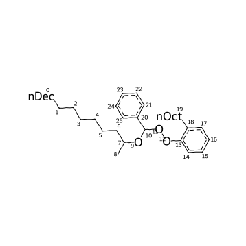 CCCCCCCCCCCCCCCCC(C)OC(OOc1ccccc1CCCCCCCC)c1ccccc1